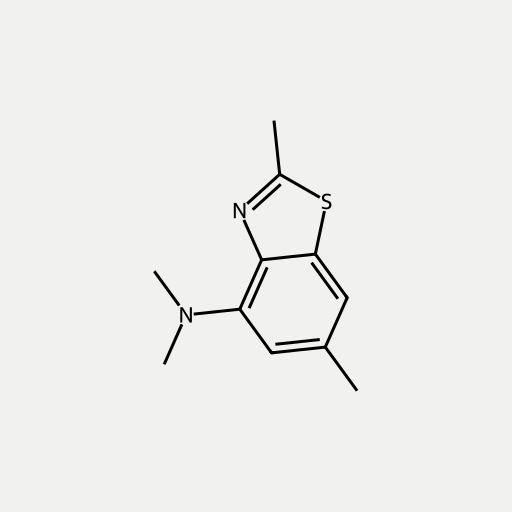 Cc1cc(N(C)C)c2nc(C)sc2c1